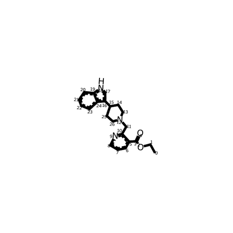 CCOC(=O)c1cccnc1CN1CCC(c2c[nH]c3ccccc23)CC1